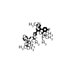 CCN(C(=O)c1cc(F)ccc1-c1cc(C2CN([C@@H](CC[C@@H]3COCCN3C(=O)OC(C)(C)C)C(C)C)C2)cn2c(C)ncc12)C(C)C